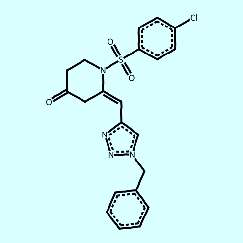 O=C1CCN(S(=O)(=O)c2ccc(Cl)cc2)C(=Cc2cn(Cc3ccccc3)nn2)C1